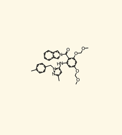 COCOc1cc(Nc2cc(C)nn2Cc2ccc(C)cc2)c(C(=O)n2cc3ccccc3c2)c(OCOC)c1